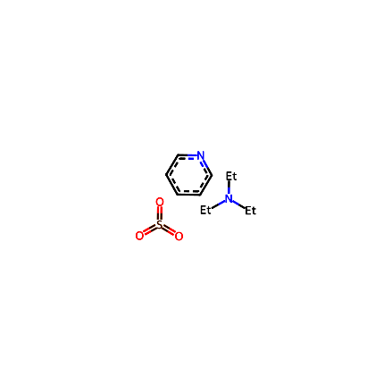 CCN(CC)CC.O=S(=O)=O.c1ccncc1